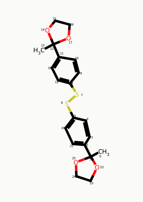 CC1(c2ccc(SSc3ccc(C4(C)OCCO4)cc3)cc2)OCCO1